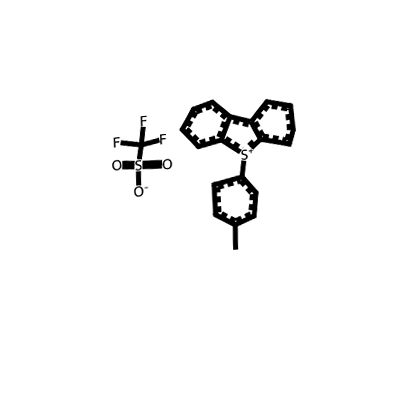 Cc1ccc(-[s+]2c3ccccc3c3ccccc32)cc1.O=S(=O)([O-])C(F)(F)F